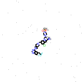 CC(Cn1c(C#N)cc2c(Cl)cc(CN3CCC4(CC3)CN(c3ncnc5ccc(CC(F)(F)F)cc35)C4)cc21)N1CCN(S(C)(=O)=O)CC1